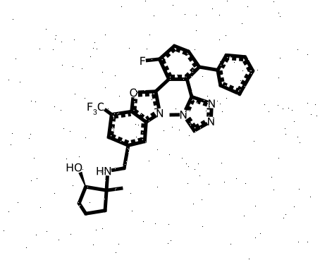 Cn1cnnc1-c1c(-c2ccccc2)ccc(F)c1-c1nc2cc(CNC3(C)CCC[C@H]3O)cc(C(F)(F)F)c2o1